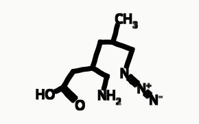 CC(CN=[N+]=[N-])CC(CN)CC(=O)O